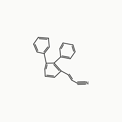 N#CC=Cc1cccc(-c2ccccc2)c1-c1ccccc1